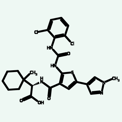 Cn1cc(-c2cc(C(=O)N[C@H](C(=O)O)C3(C)CCCCC3)c(NC(=O)Nc3c(Cl)cccc3Cl)s2)cn1